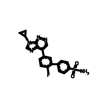 NS(=O)(=O)c1ccc(-c2cc(-c3cnnc4c3ncn4C3CC3)ccc2F)cc1